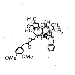 C=C(C)[C@]12C[C@@H](C)[C@@]34O[C@](Cc5ccccc5)(O[C@]1(C)[C@]3(C)C=C(COC(=O)Cc1ccc(OC)c(OC)c1)C[C@]1(O)C(=O)C(C)=C[C@@]41C)O2